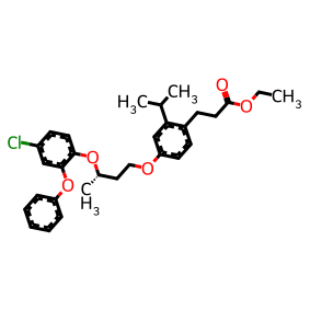 CCOC(=O)CCc1ccc(OCC[C@H](C)Oc2ccc(Cl)cc2Oc2ccccc2)cc1C(C)C